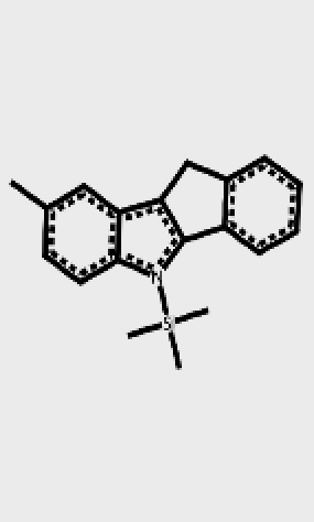 Cc1ccc2c(c1)c1c(n2[Si](C)(C)C)-c2ccccc2C1